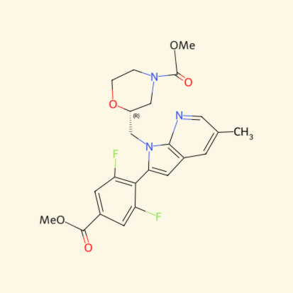 COC(=O)c1cc(F)c(-c2cc3cc(C)cnc3n2C[C@H]2CN(C(=O)OC)CCO2)c(F)c1